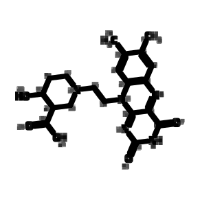 Cc1cc2nc3c(=O)[nH]c(=O)nc-3n(CCN3CCC(O)C(C(=O)O)C3)c2cc1C